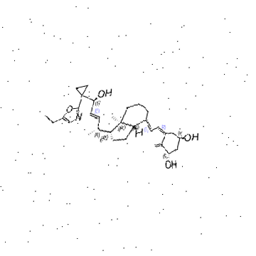 C=C1/C(=C\C=C2/CCC[C@]3(C)[C@@H]([C@H](C)/C=C/[C@H](O)C4(c5ncc(CC)o5)CC4)CC[C@@H]23)C[C@@H](O)C[C@@H]1O